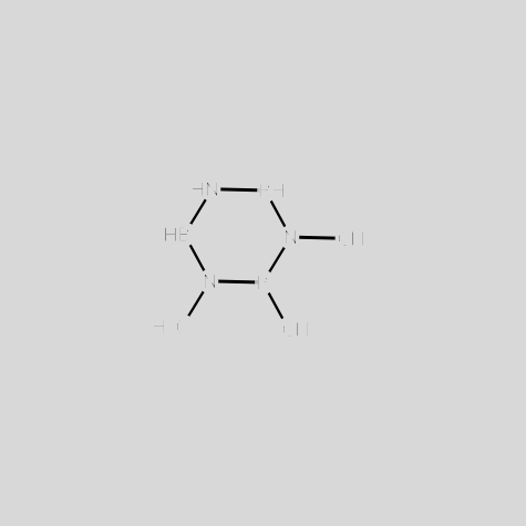 CB1N(C)BNBN1C